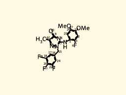 COc1cc(F)c(Nc2nc(=O)c(C)nn2Cc2cc(F)c(F)c(F)c2)cc1OC